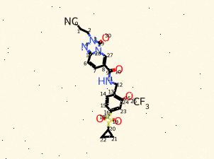 N#CCCn1nc2ccc(C(=O)NCc3ccc(S(=O)(=O)C4CC4)cc3OC(F)(F)F)cn2c1=O